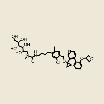 Cc1cc(COC2(c3cnccc3-c3ccccc3OC3COC3)CC2)c(Cl)cc1CCCCNC(=O)N(C)C[C@H](O)[C@@H](O)[C@H](O)[C@H](O)CO